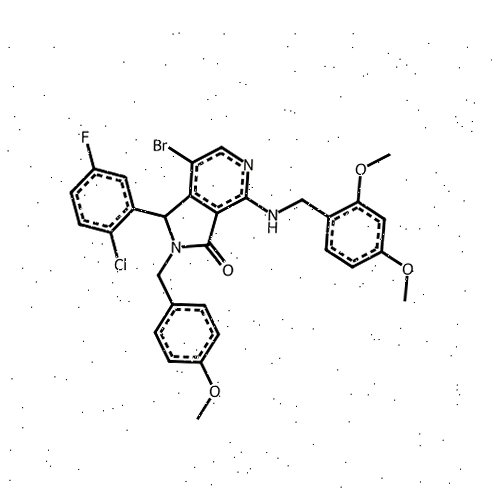 COc1ccc(CN2C(=O)c3c(NCc4ccc(OC)cc4OC)ncc(Br)c3C2c2cc(F)ccc2Cl)cc1